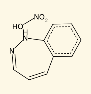 C1=Cc2ccccc2NN=C1.O=[N+]([O-])O